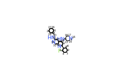 Cc1cccc(F)c1-c1cc(NC2CCN(C)CC2)c2cc(NCc3ccccc3)ncc2n1